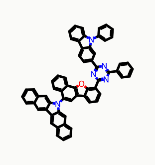 c1ccc(-c2nc(-c3ccc4c5ccccc5n(-c5ccccc5)c4c3)nc(-c3cccc4c3oc3c5ccccc5c(-n5c6cc7ccccc7cc6c6cc7ccccc7cc65)cc43)n2)cc1